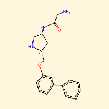 NCC(=O)N[C@@H]1CN[C@@H](COc2cccc(-c3ccccc3)c2)C1